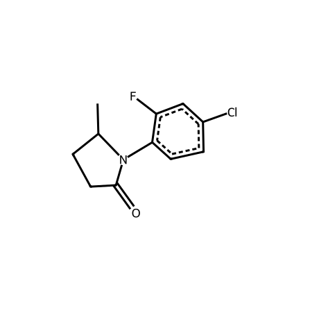 CC1CCC(=O)N1c1ccc(Cl)cc1F